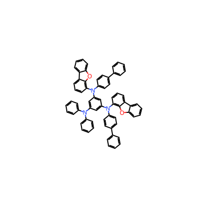 c1ccc(-c2ccc(N(c3cc(N(c4ccccc4)c4ccccc4)cc(N(c4ccc(-c5ccccc5)cc4)c4cccc5c4oc4ccccc45)c3)c3cccc4c3oc3ccccc34)cc2)cc1